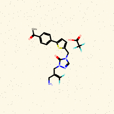 CNC(=O)c1ccc(-c2ccc(Cn3cnn(CC(CN)=C(F)F)c3=O)s2)cc1.O=C(O)C(F)(F)F